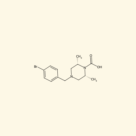 C[C@@H]1CN(Cc2ccc(Br)cc2)C[C@H](C)N1C(=O)O